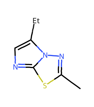 CCc1cnc2sc(C)nn12